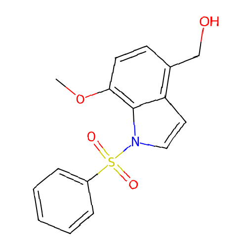 COc1ccc(CO)c2ccn(S(=O)(=O)c3ccccc3)c12